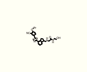 CC(C)Oc1ccc(-c2nc(-c3cccc4c3CCC4CNCC(=O)NCCO)no2)cc1C#N